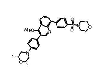 COc1c(-c2ccc(N3C[C@@H](C)O[C@@H](C)C3)cc2)cnc2c(-c3ccc(S(=O)(=O)N4CCOCC4)cc3)cccc12